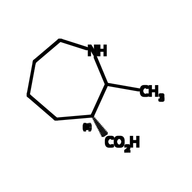 CC1NCCCC[C@H]1C(=O)O